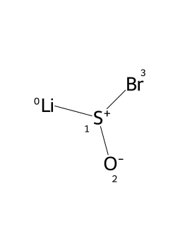 [Li][S+]([O-])Br